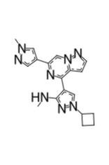 CNc1nn(C2CCC2)cc1-c1nc(-c2cnn(C)c2)cn2nccc12